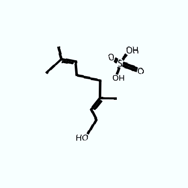 CC(C)=CCCC(C)=CCO.O=S(=O)(O)O